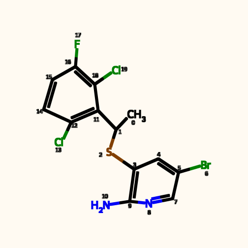 CC(Sc1cc(Br)cnc1N)c1c(Cl)ccc(F)c1Cl